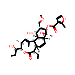 CC[C@@H](O)[C@H]1OC(=O)[C@H](CC)[C@H]2C=C[C@H]3[C@H]4O[C@]2(/C(C)=C/[C@H]1C)[C@@H]3[C@H](O)[C@@H](COC)[C@H]4OC(=O)c1ccoc1C